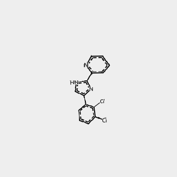 Clc1cccc(-c2c[nH]c(-c3ccccn3)n2)c1Cl